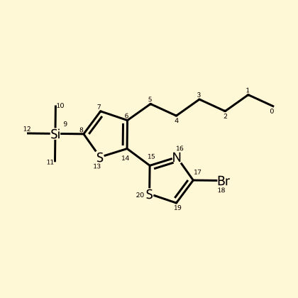 CCCCCCc1cc([Si](C)(C)C)sc1-c1nc(Br)cs1